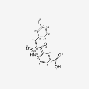 O=C(O)c1ccc2c(c1)C(=O)/C(=C\c1cccc(F)c1)[S+]([O-])N2